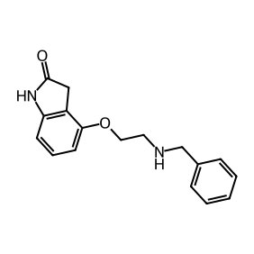 O=C1Cc2c(cccc2OCCNCc2ccccc2)N1